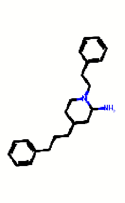 NC1CC(CCCc2ccccc2)CCN1CCc1ccccc1